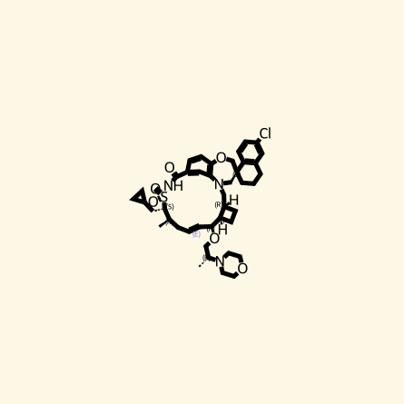 C[C@@H]1C/C=C/[C@H](OC[C@@H](C)N2CCOCC2)[C@@H]2CC[C@H]2CN2C[C@@]3(CCCc4cc(Cl)ccc43)COc3ccc(cc32)C(=O)NS(=O)(=O)[C@H]1CC1CC1